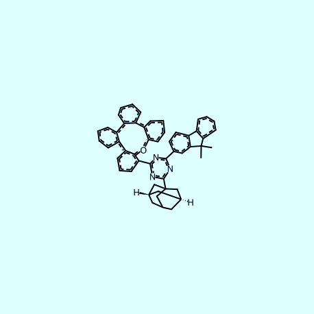 CC1(C)c2ccccc2-c2ccc(-c3nc(-c4cccc5c4oc4ccccc4c4ccccc4c4ccccc54)nc(C45CC6C[C@H](C4)C[C@H](C6)C5)n3)cc21